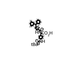 CC(C)(C)OC(=O)Nc1ccc([C@H](NC(=O)c2ccc(C(c3ccccc3)c3ccccc3)s2)C(=O)O)cc1